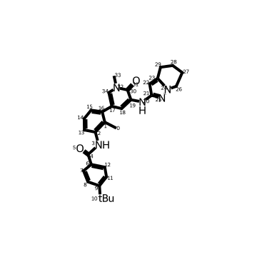 Cc1c(NC(=O)c2ccc(C(C)(C)C)cc2)cccc1-c1cc(Nc2cc3n(n2)CCCC3)c(=O)n(C)c1